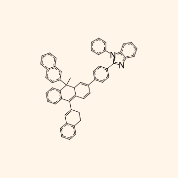 CC1(c2ccc3ccccc3c2)c2ccccc2C(C2=Cc3ccccc3CC2)=C2C=CC(c3ccc(-c4nc5ccccc5n4-c4ccccc4)cc3)=CC21